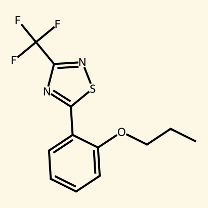 CCCOc1ccccc1-c1nc(C(F)(F)F)ns1